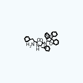 N[C@@H](Cc1ccccc1)C(=O)N[C@@H](Cc1ccccc1)C(=O)N[C@@H](CS)C(=O)C(c1ccccc1)(c1ccccc1)c1ccccc1